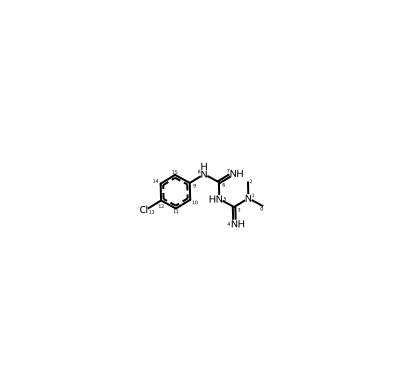 CN(C)C(=N)NC(=N)Nc1ccc(Cl)cc1